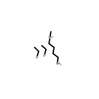 CC[O-].CC[O-].[CH3][Sn+2][CH2]CCCN